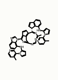 CC1=N\C=N/C2=NC(n3cnc4cccc(Nc5cccn5-c5cnccc5C)c43)=C3C=CC(=C3C2)/C([C@@H]2C=Cc3cccc(Nc4cccn4-c4cnccc4C)c32)=N\1